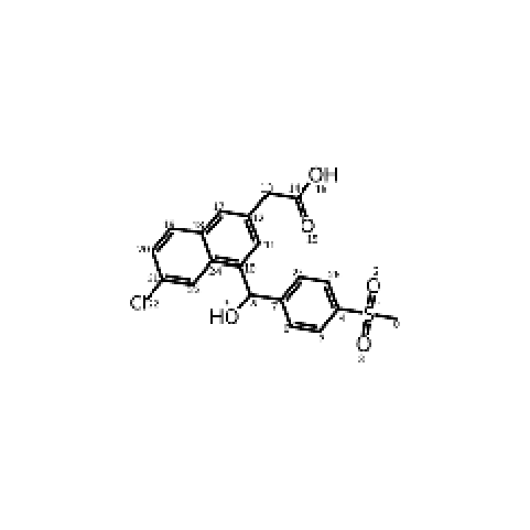 CS(=O)(=O)c1ccc(C(O)c2cc(CC(=O)O)cc3ccc(Cl)cc23)cc1